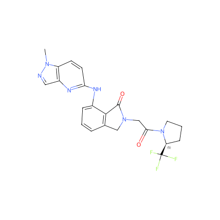 Cn1ncc2nc(Nc3cccc4c3C(=O)N(CC(=O)N3CCC[C@H]3C(F)(F)F)C4)ccc21